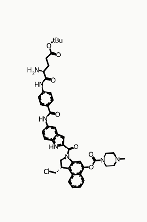 CN1CCN(C(=O)Oc2cc3c(c4ccccc24)[C@H](CCl)CN3C(=O)c2cc3cc(NC(=O)c4ccc(NC(=O)[C@@H](N)CCC(=O)OC(C)(C)C)cc4)ccc3[nH]2)CC1